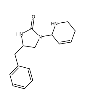 O=C1NC(Cc2ccccc2)CN1C1C=CCCN1